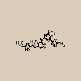 CCc1nsc(/C=C/c2cncc(Oc3cc(-c4nc(C)ns4)cc(C)n3)c2C)n1